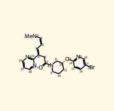 CN/C=C\C=C(/CC(=O)N1CCC[C@@H](Oc2ccc(Br)cn2)C1)c1ncccn1